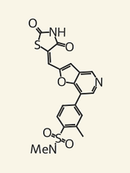 CNS(=O)(=O)c1ccc(-c2cncc3cc(C=C4SC(=O)NC4=O)oc23)cc1C